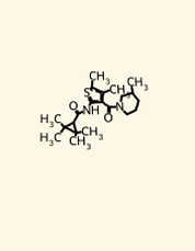 Cc1sc(NC(=O)C2C(C)(C)C2(C)C)c(C(=O)N2CCCC(C)C2)c1C